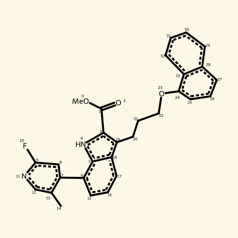 COC(=O)c1[nH]c2c(-c3cc(F)ncc3C)cccc2c1CCCOc1cccc2ccccc12